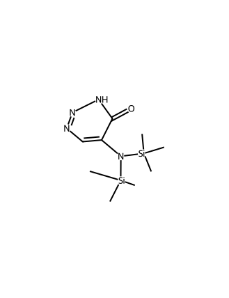 C[Si](C)(C)N(c1cnn[nH]c1=O)[Si](C)(C)C